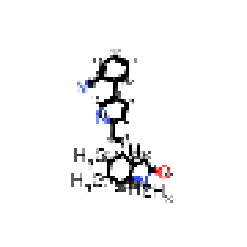 C[C@H]1[C@H](/C=C/c2ccc(-c3ccccc3C#N)cn2)[C@@H]2CC(=O)N(C)[C@@H]2C[C@@H]1C